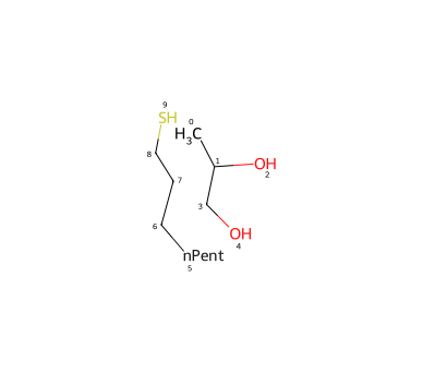 CC(O)CO.CCCCCCCCS